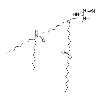 CCCCCCCCCOC(=O)CCCCCCCN(CCCCCCCC(=O)NC(CCCCCCCC)CCCCCCCC)CCN/C(=N/C#N)N(C)C